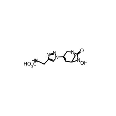 O=C(O)NCc1cn(C2=CC3CN(C2)C(=O)N3O)nn1